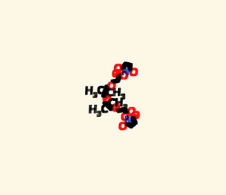 CC(C)(COCCC(=O)ON1C(=O)CCC1=O)COCC(C)(C)COCCC(=O)ON1C(=O)CCC1=O